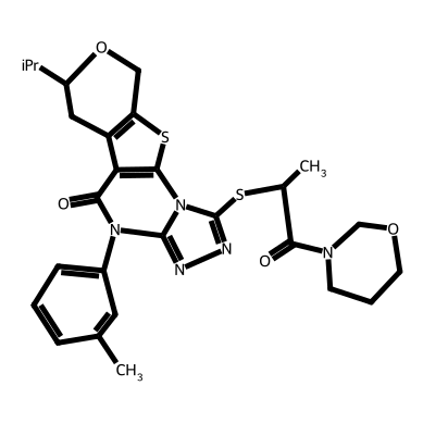 Cc1cccc(-n2c(=O)c3c4c(sc3n3c(SC(C)C(=O)N5CCCOC5)nnc23)COC(C(C)C)C4)c1